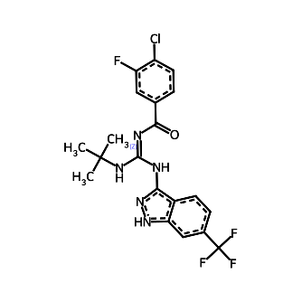 CC(C)(C)N/C(=N/C(=O)c1ccc(Cl)c(F)c1)Nc1n[nH]c2cc(C(F)(F)F)ccc12